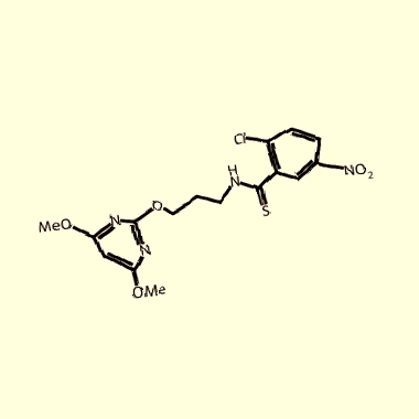 COc1cc(OC)nc(OCCCNC(=S)c2cc([N+](=O)[O-])ccc2Cl)n1